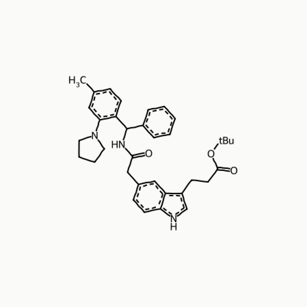 Cc1ccc(C(NC(=O)Cc2ccc3[nH]cc(CCC(=O)OC(C)(C)C)c3c2)c2ccccc2)c(N2CCCC2)c1